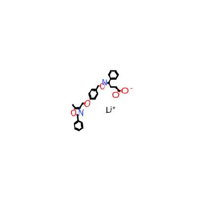 Cc1oc(-c2ccccc2)nc1COc1ccc(CO/N=C(\CCC(=O)[O-])c2ccccc2)cc1.[Li+]